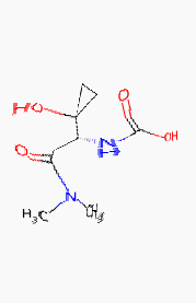 CN(C)C(=O)[C@@H](NC(=O)O)C1(O)CC1